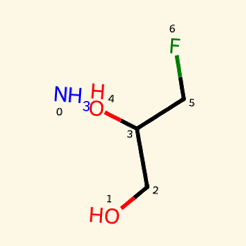 N.OCC(O)CF